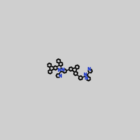 c1ccc(-c2nc(-c3ccc4ccccc4c3-c3ccc4c5ccccc5c5ccccc5c4c3)n3cc(-c4ccc5c6ccccc6c6cc(-c7cccc(-c8nc(-c9cccnc9)c9ccccn89)c7)ccc6c5c4)ccc23)nc1